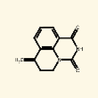 C=C1CCn2c(=O)[nH]c(=O)c3cccc1c32